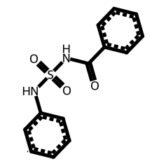 O=C(NS(=O)(=O)Nc1c[c]ccc1)c1ccccc1